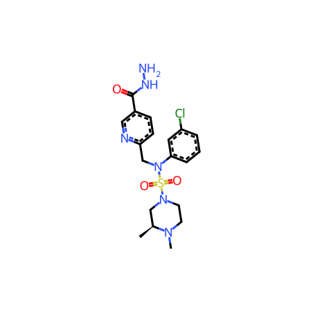 C[C@H]1CN(S(=O)(=O)N(Cc2ccc(C(=O)NN)cn2)c2cccc(Cl)c2)CCN1C